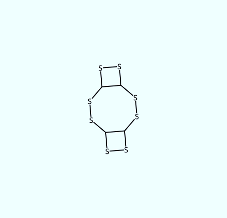 S1SC2SSC3SSC3SSC12